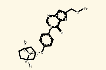 CCCOCc1cc2ncn(-c3ccc(O[C@@H]4C[C@H]5CC[C@@H](C4)N5C)cc3)c(=O)c2s1